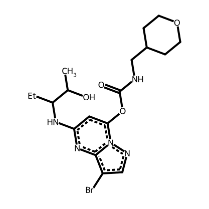 CCC(Nc1cc(OC(=O)NCC2CCOCC2)n2ncc(Br)c2n1)C(C)O